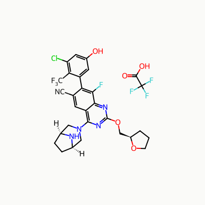 N#Cc1cc2c(N3C[C@H]4CC[C@@H](C3)N4)nc(OC[C@H]3CCCO3)nc2c(F)c1-c1cc(O)cc(Cl)c1C(F)(F)F.O=C(O)C(F)(F)F